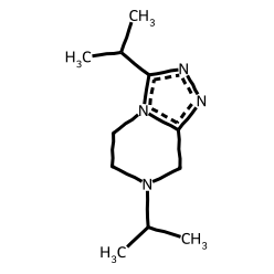 CC(C)c1nnc2n1CCN(C(C)C)C2